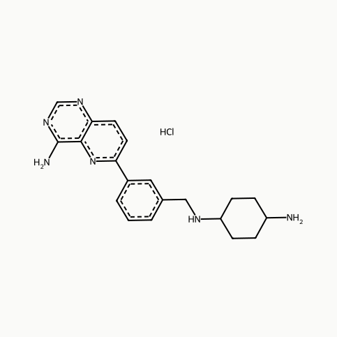 Cl.Nc1ncnc2ccc(-c3cccc(CNC4CCC(N)CC4)c3)nc12